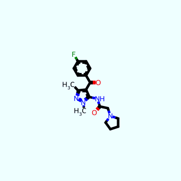 Cc1nn(C)c(NC(=O)CN2CCCC2)c1C(=O)c1ccc(F)cc1